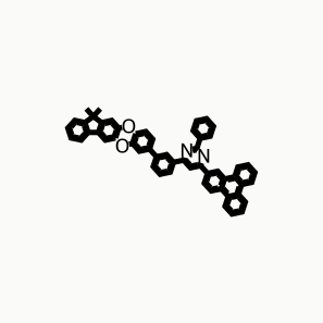 CC1(C)c2ccccc2-c2cc3c(cc21)Oc1ccc(-c2cccc(-c4cc(-c5ccc6c7ccccc7c7ccccc7c6c5)nc(-c5ccccc5)n4)c2)cc1O3